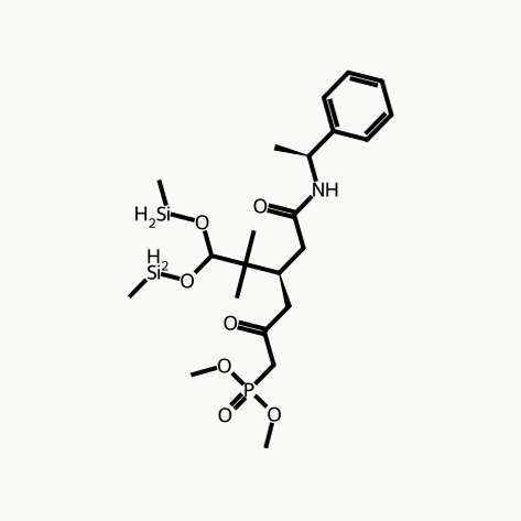 COP(=O)(CC(=O)C[C@H](CC(=O)N[C@@H](C)c1ccccc1)C(C)(C)C(O[SiH2]C)O[SiH2]C)OC